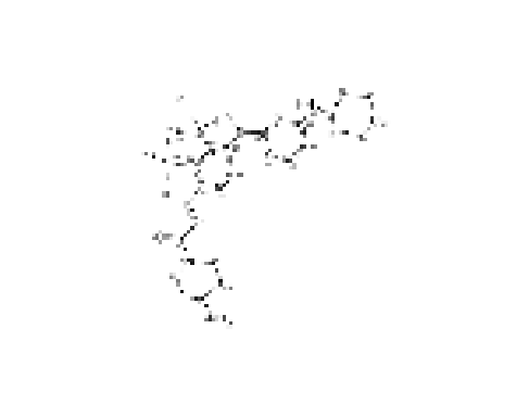 NC1CCN(C(=O)C=Cc2ccc(Sc3cccc(NC4CCOCC4)c3)c(C(F)(F)F)c2C(F)(F)F)CC1